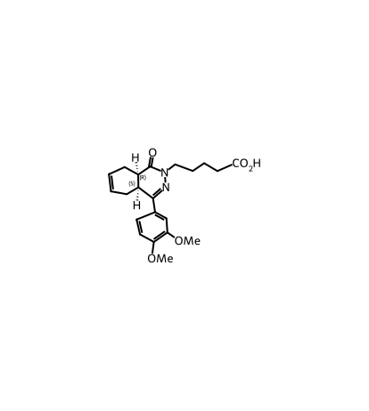 COc1ccc(C2=NN(CCCCC(=O)O)C(=O)[C@@H]3CC=CC[C@H]23)cc1OC